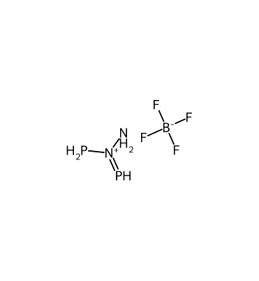 F[B-](F)(F)F.N[N+](=P)P